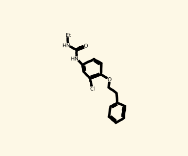 CCNC(=O)Nc1ccc(OCCc2ccccc2)c(Cl)c1